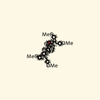 COc1ccc(CN(Cc2ccc(OC)cc2)c2ncccc2[C@@H](C)N2CCOc3nc(-c4c(C(F)(F)F)cc(F)c(N(Cc5ccc(OC)cc5)Cc5ccc(OC)cc5)c4F)c(F)c4nc(S(C)(=O)=O)nc2c34)cc1